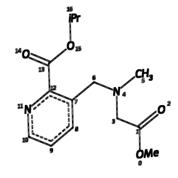 COC(=O)CN(C)Cc1cccnc1C(=O)OC(C)C